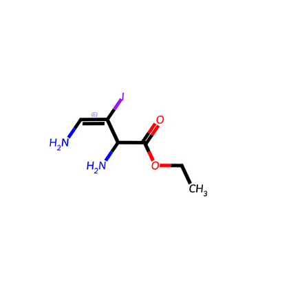 CCOC(=O)C(N)/C(I)=C\N